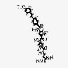 CNC(=N)CCNC(=O)c1cc(NC(=O)c2cc(NC(=O)c3ccc(/C=C/c4ccc(C(F)(F)F)cc4)cc3)cn2C)cn1C